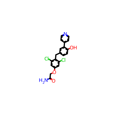 NC(=O)COc1cc(Cl)c(Cc2ccc(O)c(-c3ccncc3)c2)c(Cl)c1